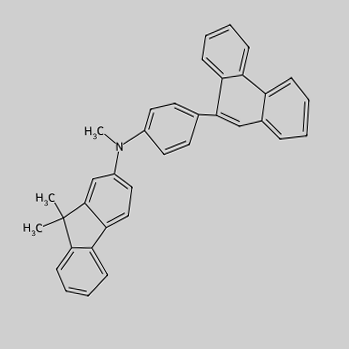 CN(c1ccc(-c2cc3ccccc3c3ccccc23)cc1)c1ccc2c(c1)C(C)(C)c1ccccc1-2